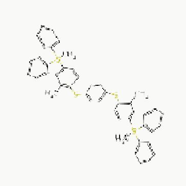 Cc1cc(S(C)(c2ccccc2)c2ccccc2)ccc1SC1=CC=C(Sc2ccc(S(C)(c3ccccc3)c3ccccc3)cc2C)CC1